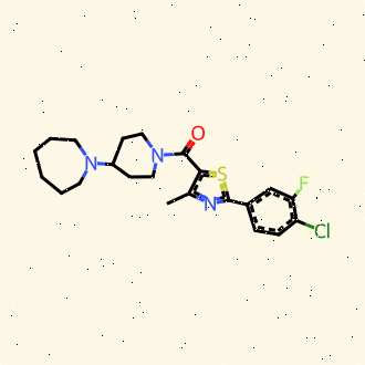 Cc1nc(-c2ccc(Cl)c(F)c2)sc1C(=O)N1CCC(N2CCCCCC2)CC1